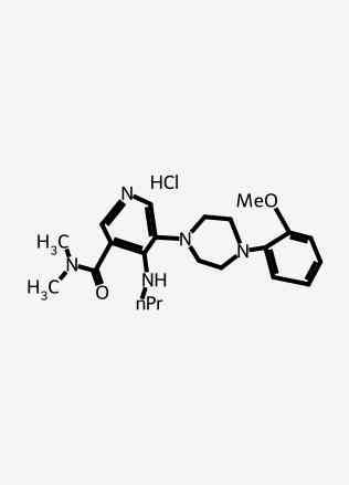 CCCNc1c(C(=O)N(C)C)cncc1N1CCN(c2ccccc2OC)CC1.Cl